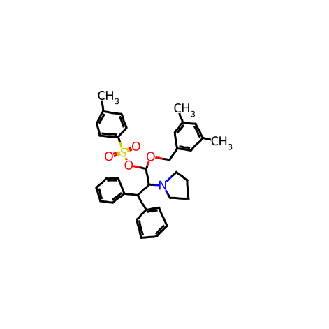 Cc1ccc(S(=O)(=O)OC(OCc2cc(C)cc(C)c2)C(C(c2ccccc2)c2ccccc2)N2CCCC2)cc1